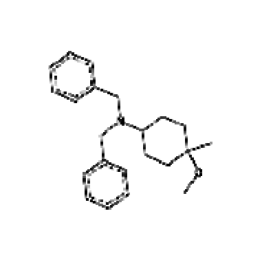 COC1(C)CCC(N(Cc2ccccc2)Cc2ccccc2)CC1